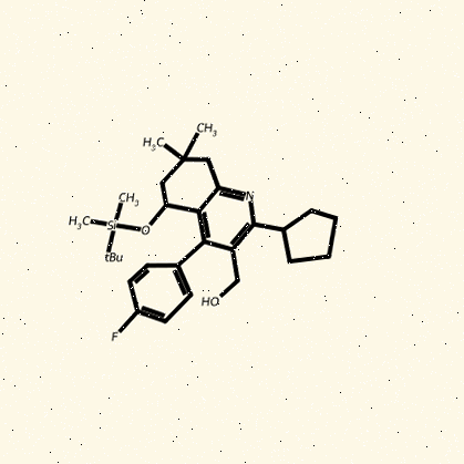 CC1(C)Cc2nc(C3CCCC3)c(CO)c(-c3ccc(F)cc3)c2C(O[Si](C)(C)C(C)(C)C)C1